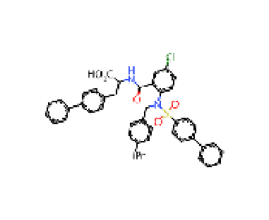 CC(C)c1ccc(CN(c2ccc(Cl)cc2C(=O)NC(Cc2ccc(-c3ccccc3)cc2)C(=O)O)S(=O)(=O)c2ccc(-c3ccccc3)cc2)cc1